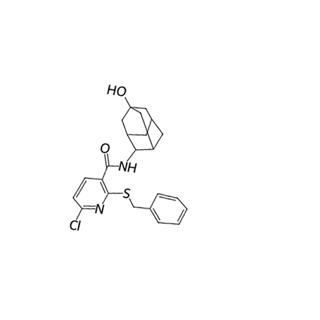 O=C(NC1C2CC3CC1CC(O)(C3)C2)c1ccc(Cl)nc1SCc1ccccc1